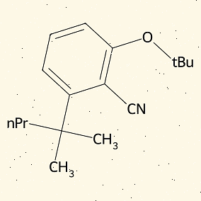 CCCC(C)(C)c1cccc(OC(C)(C)C)c1C#N